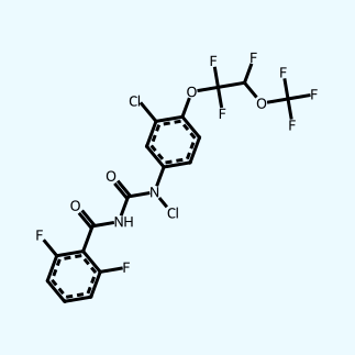 O=C(NC(=O)N(Cl)c1ccc(OC(F)(F)C(F)OC(F)(F)F)c(Cl)c1)c1c(F)cccc1F